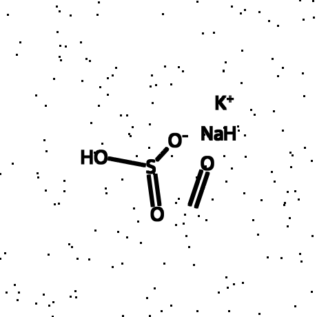 C=O.O=S([O-])O.[K+].[NaH]